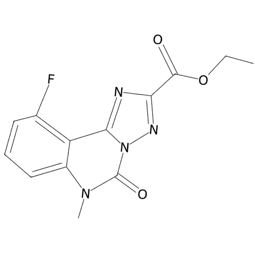 CCOC(=O)c1nc2c3c(F)cccc3n(C)c(=O)n2n1